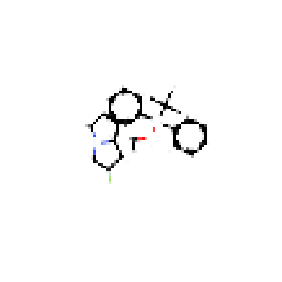 [2H]C([2H])(O[Si](c1ccccc1)(c1ccccc1)C(C)(C)C)[C@@]12CCCN1[C@@H](C)[C@H](F)C2